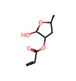 C=CC(=O)OC1CC(C)OC1O